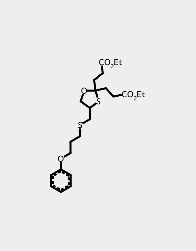 CCOC(=O)CCC1(CCC(=O)OCC)OCC(CSCCCOc2ccccc2)S1